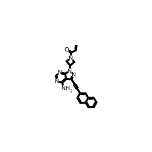 C=CC(=O)N1CC(n2nc(C#Cc3ccc4ccccc4c3)c3c(N)ncnc32)C1